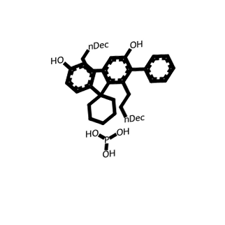 CCCCCCCCCCCCc1cc(O)c(-c2ccccc2)c(CCCCCCCCCCCC)c1C1(c2ccc(O)cc2)CCCCC1.OP(O)O